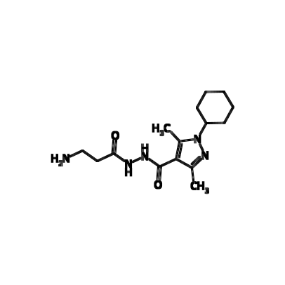 Cc1nn(C2CCCCC2)c(C)c1C(=O)NNC(=O)CCN